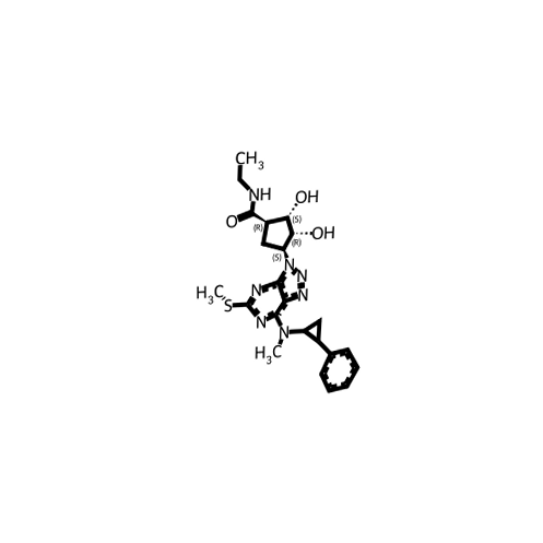 CCNC(=O)[C@@H]1C[C@H](n2nnc3c(N(C)C4CC4c4ccccc4)nc(SC)nc32)[C@@H](O)[C@H]1O